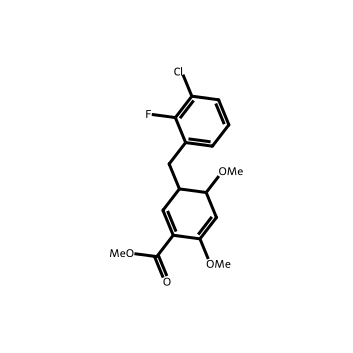 COC(=O)C1=CC(Cc2cccc(Cl)c2F)C(OC)C=C1OC